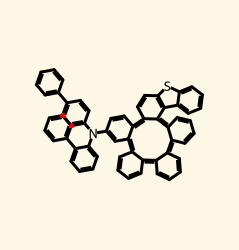 c1ccc(-c2ccc(N(c3ccc4c(c3)c3ccccc3c3ccccc3c3ccccc3c3c4ccc4sc5ccccc5c43)c3ccccc3-c3ccccc3)cc2)cc1